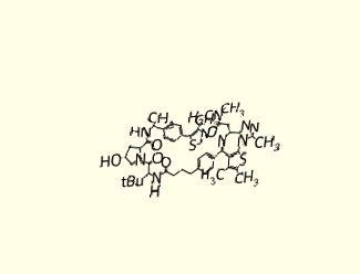 Cc1ncsc1-c1ccc(C(C)NC(=O)[C@@H]2C[C@@H](O)CN2C(=O)C(NC(=O)CCCc2ccc(C3=N[C@@H](CC(=O)N(C)C)c4nnc(C)n4-c4sc(C)c(C)c43)cc2)C(C)(C)C)cc1